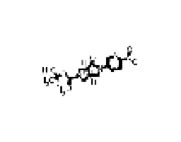 CC(C)(C)OC(=O)N1C[C@@H]2CN(c3ccc([N+](=O)[O-])nc3)C(=O)[C@@H]2C1